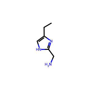 CCc1c[nH]c(CN)n1